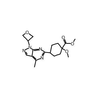 COC(=O)C1(OC)CCC(c2nc(C)c3cnn(C4COC4)c3n2)CC1